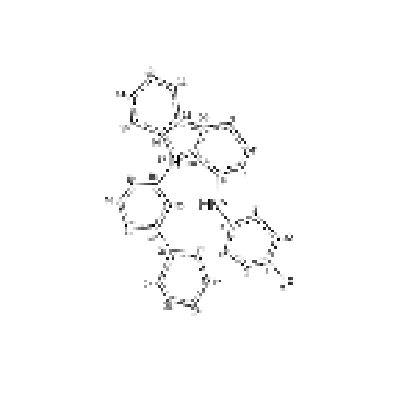 Fc1ccc(Nc2cccc3c4ccccc4n(-c4cccc(-c5ccccc5)c4)c23)cc1